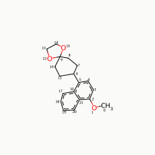 COc1ccc(C2CCC3(CC2)OCCO3)c2ccccc12